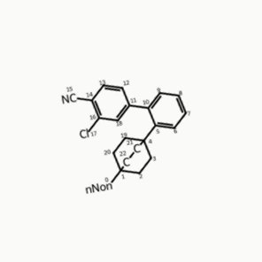 CCCCCCCCCC12CCC(c3ccccc3-c3ccc(C#N)c(Cl)c3)(CC1)CC2